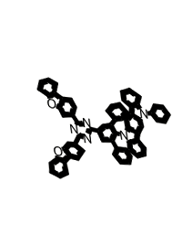 c1ccc(-c2cc(-c3nc(-c4ccc5c(c4)oc4ccccc45)nc(-c4ccc5c(c4)oc4ccccc45)n3)cc(-c3ccccc3)c2-n2c3ccccc3c3cc4c(cc32)c2ccccc2n4-c2ccccc2)cc1